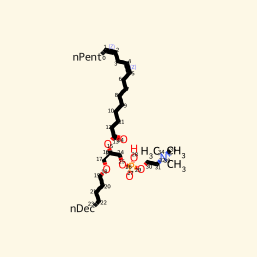 CCCCC/C=C\C/C=C\CCCCCCCC(=O)O[C@H](COCCCCCCCCCCCCCC)COP(=O)(O)OCC[N+](C)(C)C